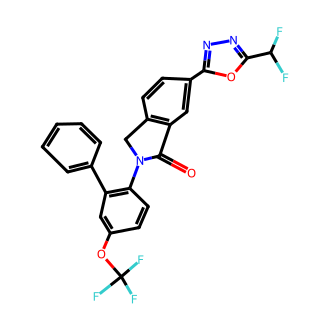 O=C1c2cc(-c3nnc(C(F)F)o3)ccc2CN1c1ccc(OC(F)(F)F)cc1-c1ccccc1